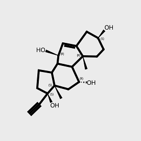 C#C[C@]1(O)CCC2C3C([C@H](O)C[C@@]21C)[C@@]1(C)CC[C@H](O)CC1=C[C@@H]3O